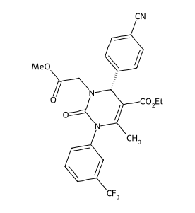 CCOC(=O)C1=C(C)N(c2cccc(C(F)(F)F)c2)C(=O)N(CC(=O)OC)[C@@H]1c1ccc(C#N)cc1